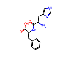 NC(Cc1c[nH]cn1)C(=O)NC(Cc1ccccc1)C(=O)O